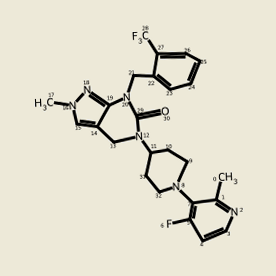 Cc1nccc(F)c1N1CCC(N2Cc3cn(C)nc3N(Cc3ccccc3C(F)(F)F)C2=O)CC1